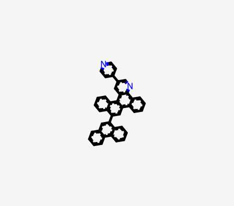 c1ccc2c(c1)cc(-c1cc3c4ccccc4c4ncc(-c5ccncc5)cc4c3c3ccccc13)c1ccccc12